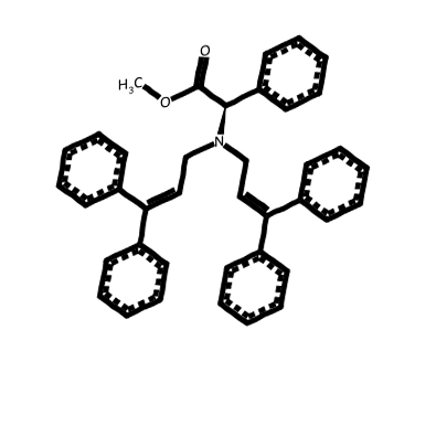 COC(=O)[C@@H](c1ccccc1)N(CC=C(c1ccccc1)c1ccccc1)CC=C(c1ccccc1)c1ccccc1